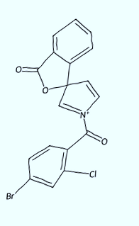 O=C1OC2(C=C[N+](C(=O)c3ccc(Br)cc3Cl)=C2)c2ccccc21